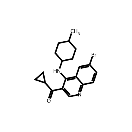 CC1CCC(Nc2c(C(=O)C3CC3)cnc3ccc(Br)cc23)CC1